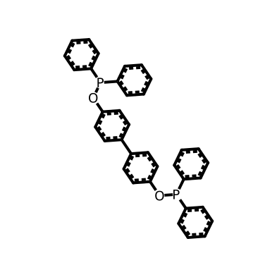 c1ccc(P(Oc2ccc(-c3ccc(OP(c4ccccc4)c4ccccc4)cc3)cc2)c2ccccc2)cc1